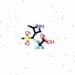 CC1NCC1CS(C)(=O)=O.O=C(O)C(F)(F)F